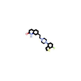 O=c1ccc2ccc(CCN3CCN(c4ccc(F)c5sccc45)CC3)cc2[nH]1